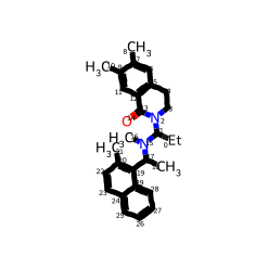 CCC(N1CCc2cc(C)c(C)cc2C1=O)N(C)C(C)c1c(C)ccc2ccccc12